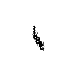 CCCCCC(=O)OC1CC[C@@]2(C)C(=CCC3C2CC[C@@]2(C)C3C[C@@H]3O[C@@]4(CC[C@H](C)CO4)[C@@H](C)[C@@H]32)C1